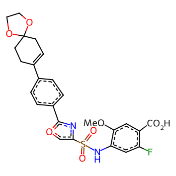 COc1cc(C(=O)O)c(F)cc1NS(=O)(=O)c1coc(-c2ccc(C3=CCC4(CC3)OCCO4)cc2)n1